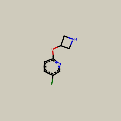 Fc1ccc(OC2CNC2)nc1